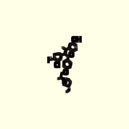 CC[C@@H]1CCN([C@@H](C)COc2ccc(C3Oc4ccc(O)cc4C(C)=C3c3ccc(F)c(Cl)c3)cc2)C1